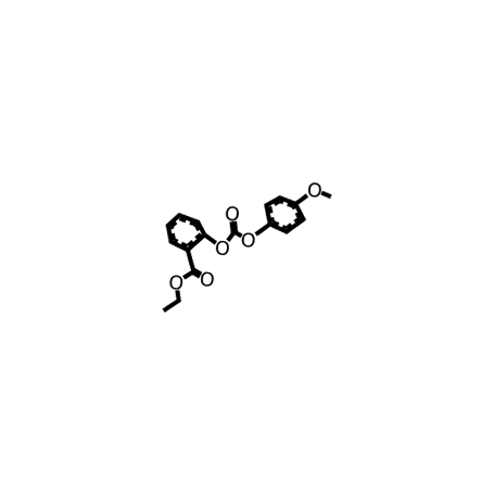 CCOC(=O)c1ccccc1OC(=O)Oc1ccc(OC)cc1